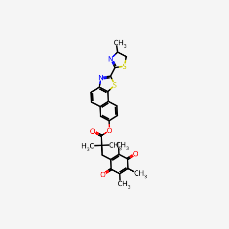 CC1=C(C)C(=O)C(CC(C)(C)C(=O)Oc2ccc3c(ccc4nc(C5=NC(C)CS5)sc43)c2)=C(C)C1=O